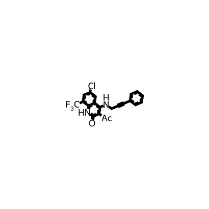 CC(=O)c1c(NCC#Cc2ccccc2)c2cc(Cl)cc(C(F)(F)F)c2[nH]c1=O